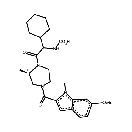 COc1ccc2cc(C(=O)N3CCN(C(=O)C(NC(=O)O)C4CCCCC4)[C@H](C)C3)n(C)c2c1